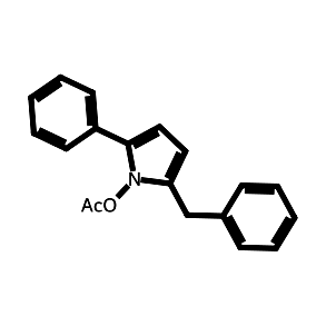 CC(=O)On1c(Cc2ccccc2)ccc1-c1ccccc1